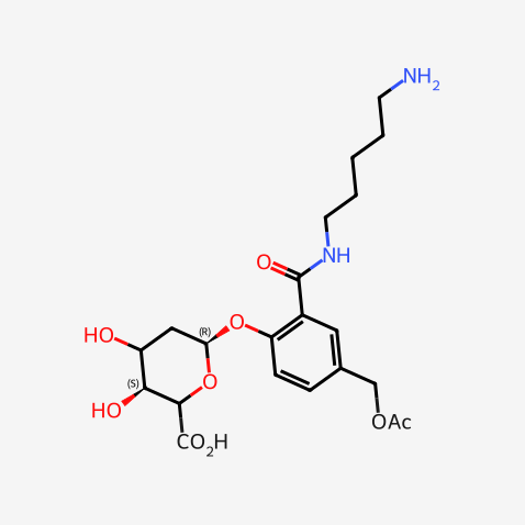 CC(=O)OCc1ccc(O[C@@H]2CC(O)[C@H](O)C(C(=O)O)O2)c(C(=O)NCCCCCN)c1